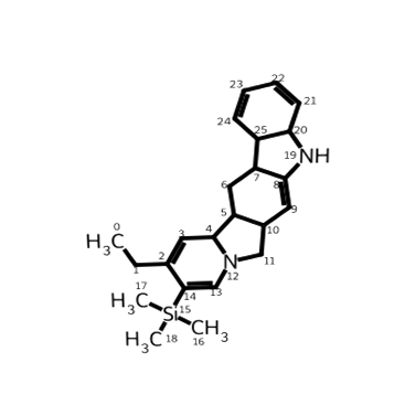 CCC1=CC2C3CC4C(=CC3CN2C=C1[Si](C)(C)C)NC1C=CC=CC14